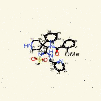 COc1ccccc1C(=O)NC(C(=NS(C)(=O)=O)NCc1ccccn1)C1(c2ccccc2)CCNCC1